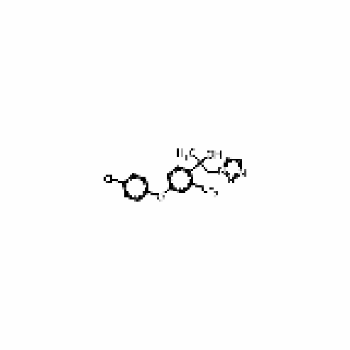 C[C@@](O)(Cn1ccnn1)c1ccc(Oc2ccc(Cl)cc2)cc1C(F)(F)F